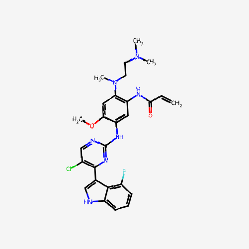 C=CC(=O)Nc1cc(Nc2ncc(Cl)c(-c3c[nH]c4cccc(F)c34)n2)c(OC)cc1N(C)CCN(C)C